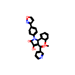 COc1ccccc1C1C(C(=O)c2cccnc2)=C(O)C(=O)N1c1ccc(-c2ccon2)cc1